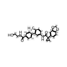 Cc1ccc(NC(=O)C2(c3ccc4c(c3)OCO4)CC2)cc1-c1ccc(C(=O)NCCO)cc1